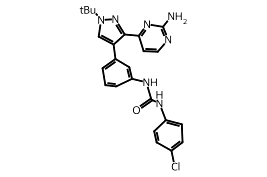 CC(C)(C)n1cc(-c2cccc(NC(=O)Nc3ccc(Cl)cc3)c2)c(-c2ccnc(N)n2)n1